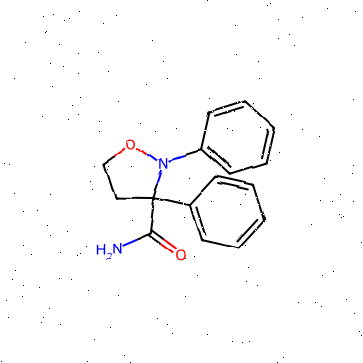 NC(=O)C1(c2ccccc2)CCON1c1ccccc1